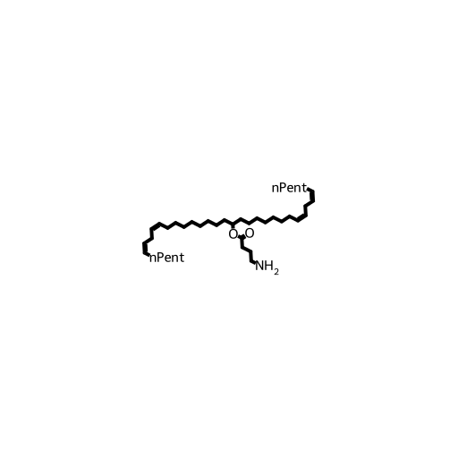 CCCCC/C=C\C/C=C\CCCCCCCCC(CCCCCCC/C=C\C/C=C\CCCCC)OC(=O)CCCN